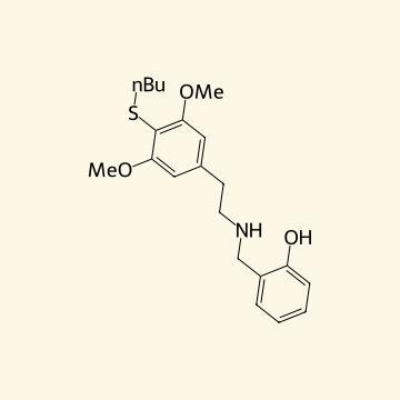 CCCCSc1c(OC)cc(CCNCc2ccccc2O)cc1OC